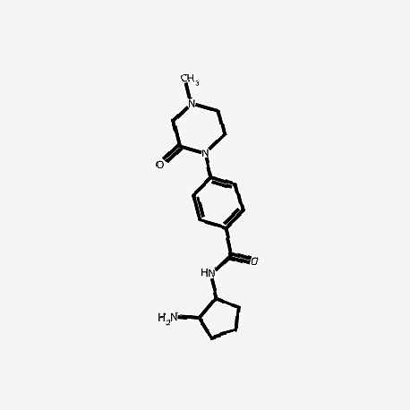 CN1CCN(c2ccc(C(=O)NC3CCCC3N)cc2)C(=O)C1